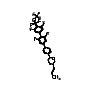 CCCC1CCC(c2ccc(-c3cc(F)c(-c4cc(F)c(C(F)(F)OC(F)(F)F)c(F)c4)c(F)c3)cc2)OC1